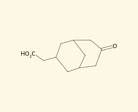 O=C(O)CC1CC2CC(=O)CC(C1)C2